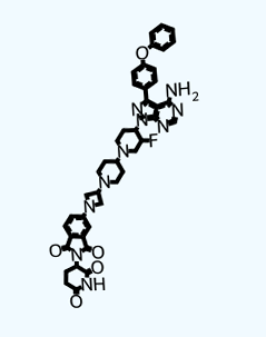 Nc1ncnc2c1c(-c1ccc(Oc3ccccc3)cc1)nn2C1CCN(C2CCN(C3CN(c4ccc5c(c4)C(=O)N(C4CCC(=O)NC4=O)C5=O)C3)CC2)CC1F